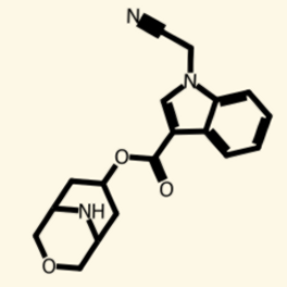 N#CCn1cc(C(=O)OC2CC3COCC(C2)N3)c2ccccc21